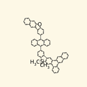 C[Si]1(C)c2ccc(-c3c4ccccc4c(-c4ccc5oc6cc7ccccc7cc6c5c4)c4ccccc34)cc2-c2cc3c(cc21)c1ccccc1c1cc2ccccc2cc31